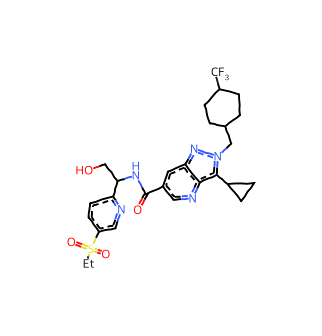 CCS(=O)(=O)c1ccc(C(CO)NC(=O)c2cnc3c(C4CC4)n(CC4CCC(C(F)(F)F)CC4)nc3c2)nc1